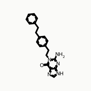 Nc1nc2[nH]cnc2c(=O)n1CCc1ccc(CCc2ccccc2)cc1